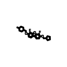 CC1CCC(COc2ccc3c(oc4c(F)c(OCC5CCCC5)ccc43)c2F)CC1